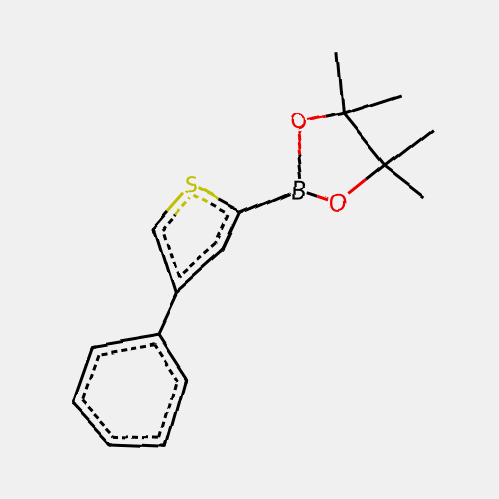 CC1(C)OB(c2cc(-c3ccccc3)cs2)OC1(C)C